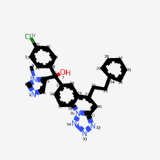 Cn1cncc1C(O)(c1ccc(Cl)cc1)c1ccc2c(c1)c(CCc1ccccc1)cc1nnnn12